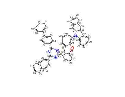 c1ccc(-c2ccc(-c3nc(-c4ccc5ccccc5c4)nc(-c4cccc5oc6c(-n7c8ccccc8c8cc9ccccc9cc87)cccc6c45)n3)cc2)cc1